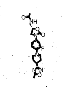 CC(=O)NC[C@H]1CN(c2ccc(N3CCC(c4noc(C)n4)CC3)c(F)c2)C(=O)O1